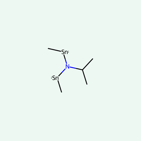 [CH3][Sn][N]([Sn][CH3])C(C)C